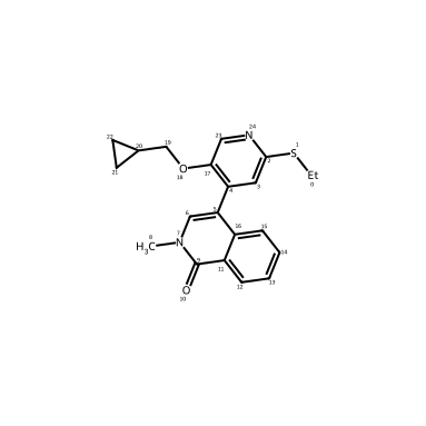 CCSc1cc(-c2cn(C)c(=O)c3ccccc23)c(OCC2CC2)cn1